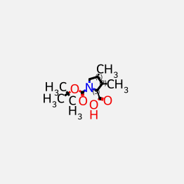 C[C@@H]1[C@H](C)CN(C(=O)OC(C)(C)C)[C@@H]1C(=O)O